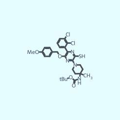 COc1ccc(COc2nc(N3CCC(C)(NC(=O)OC(C)(C)C)CC3)c(S)nc2-c2cccc(Cl)c2Cl)cc1